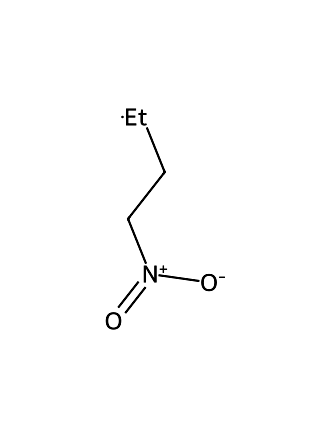 C[CH]CC[N+](=O)[O-]